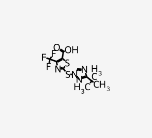 CC(C)(C)c1ncn(Sc2nc(C(F)(F)F)c(C(=O)O)s2)n1